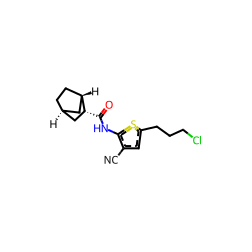 N#Cc1cc(CCCCl)sc1NC(=O)[C@@H]1C[C@H]2CC[C@H]1C2